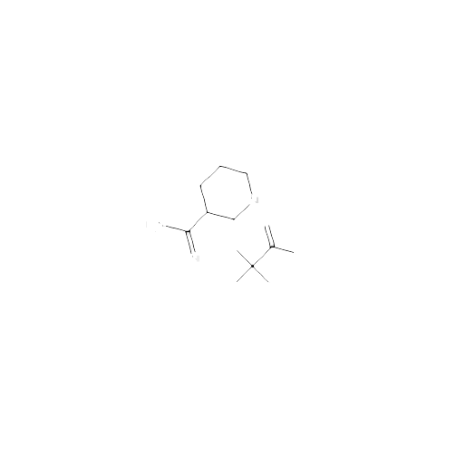 N=C(N)C1CCCNC1.O=C(O)C(F)(F)F